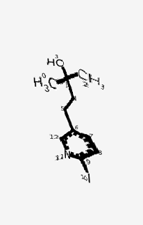 CC(C)(O)CCc1ccc(I)nc1